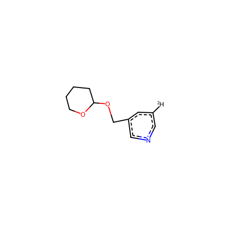 [2H]c1cncc(COC2CCCCO2)c1